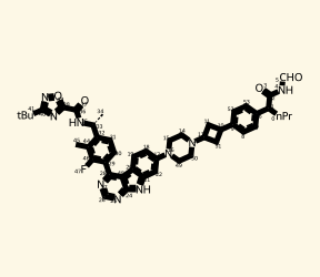 CCCC(C(=O)NC=O)c1ccc(C2CC(N3CCN(c4ccc5c(c4)[nH]c4ncnc(-c6ccc([C@@H](C)NC(=O)c7nc(C(C)(C)C)no7)c(C)c6F)c45)CC3)C2)cc1